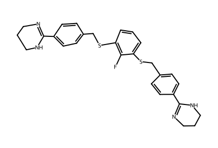 Fc1c(SCc2ccc(C3=NCCCN3)cc2)cccc1SCc1ccc(C2=NCCCN2)cc1